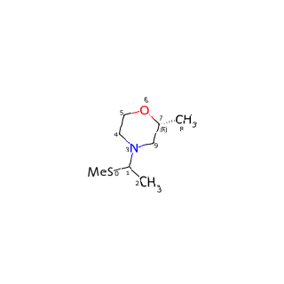 CSC(C)N1CCO[C@H](C)C1